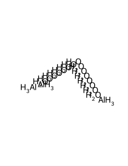 O.O.O.O.O.O.O.O.O.O.O.O.O.O.O.[AlH3].[AlH3].[AlH3]